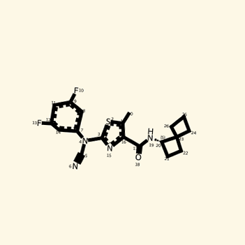 Cc1sc(N(C#N)c2cc(F)cc(F)c2)nc1C(=O)N[C@H]1CCC12CCC2